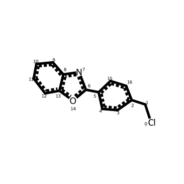 ClCc1ccc(-c2nc3ccccc3o2)cc1